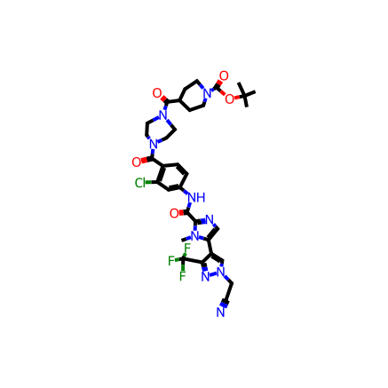 Cn1c(-c2cn(CC#N)nc2C(F)(F)F)cnc1C(=O)Nc1ccc(C(=O)N2CCN(C(=O)C3CCN(C(=O)OC(C)(C)C)CC3)CC2)c(Cl)c1